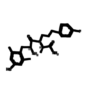 Cc1cc(O)cc(C)c1C[C@H](N)C(=O)N(CCCc1ccc(F)cc1)[C@H](C)C(N)=O